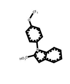 O=C(O)c1cc2ccccc2n1-c1ccc(OC(F)(F)F)cc1